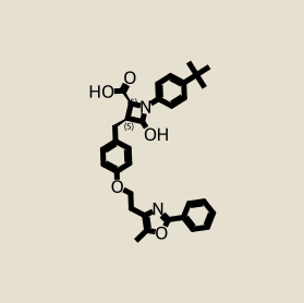 Cc1oc(-c2ccccc2)nc1CCOc1ccc(C[C@@H]2C(O)N(c3ccc(C(C)(C)C)cc3)[C@@H]2C(=O)O)cc1